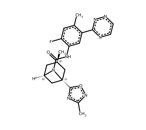 Cc1noc([C@]23C[C@H](C)C[C@H](C2)N3C(=O)Nc2cc(-c3nccnn3)c(C)cc2F)n1